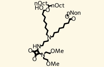 CCCCCCCCCOC(=O)CCCCCCCN(CCCCCCCC(O)OC(CCCCCCCC)CCCCCCCC)CCCNc1c(N(CCOC)CCOC)c(=O)c1=O